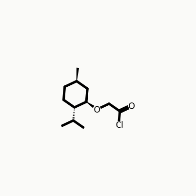 CC(C)[C@@H]1CC[C@@H](C)C[C@H]1OCC(=O)Cl